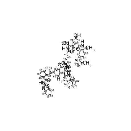 Cc1ncsc1-c1ccc([C@H](C)NC(=O)[C@@H]2C[C@@H](O)CN2C(=O)[C@@H](NC(=O)CCCCS(=O)(=O)NC(=O)c2nc(N3CCc4cccc(C(=O)Nc5nc6ccccc6s5)c4C3)ccc2-c2cnn(CC34CC5CC(CC(C5)C3)C4)c2C)C(C)(C)C)cc1